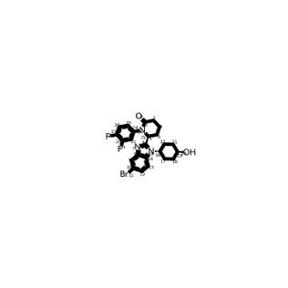 O=C1CCC[C@@H](c2nc3cc(Br)ccc3n2[C@H]2CC[C@H](O)CC2)N1c1ccc(F)c(F)c1